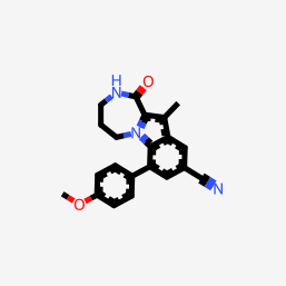 COc1ccc(-c2cc(C#N)cc3c(C)c4n(c23)CCCNC4=O)cc1